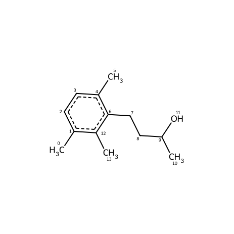 Cc1ccc(C)c(CCC(C)O)c1C